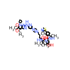 CC(=O)c1c(C)c2cnc(Nc3ccc(N4CCN(CCCCC(=O)N[C@H](C(=O)N5C[C@H](O)C[C@H]5C(=O)N[C@@H](C)c5ccc(-c6scnc6C)cc5)C(C)(C)C)CC4)cn3)nc2n(C2CCCC2)c1=O